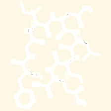 CC[C@H](C)[C@H](NC(=O)CNC(=O)[C@@H](N)Cc1ccccc1)C(=O)N[C@@H](CC(N)=O)C(=O)N[C@@H](CC(C)C)C(=O)N[C@H](C(=O)N[C@@H](CCC(N)=O)C(=O)O)[C@@H](C)CC